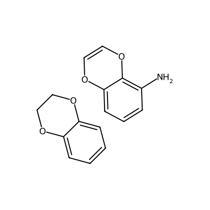 Nc1cccc2c1OC=CO2.c1ccc2c(c1)OCCO2